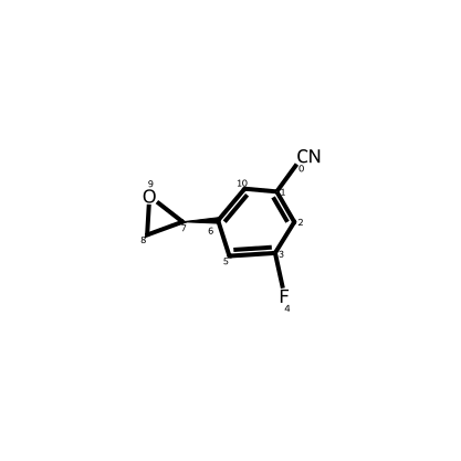 N#Cc1cc(F)cc([C@H]2CO2)c1